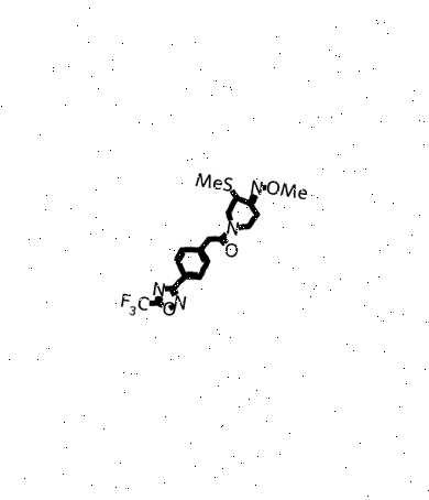 CON=C1CCN(C(=O)Cc2ccc(-c3noc(C(F)(F)F)n3)cc2)CC1SC